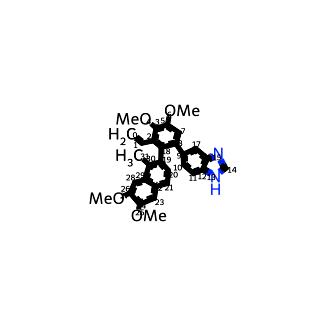 C=Cc1c(OC)c(OC)cc(-c2ccc3[nH]cnc3c2)c1-c1ccc2cc(OC)c(OC)cc2c1C